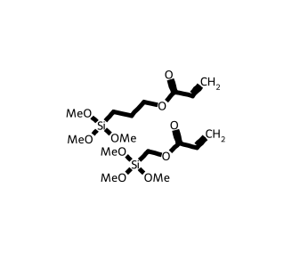 C=CC(=O)OCCC[Si](OC)(OC)OC.C=CC(=O)OC[Si](OC)(OC)OC